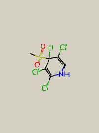 CS(=O)(=O)C1(Cl)C(Cl)=CNC(Cl)=C1Cl